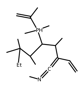 C=CC(=C=NC)C(C)C(C(C)C(C)(C)CC)[PH](C)(C)C(=C)C